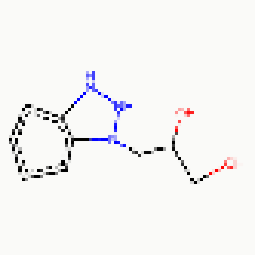 OCC(O)CN1NNc2ccccc21